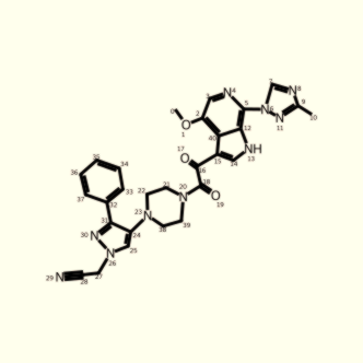 COc1cnc(-n2cnc(C)n2)c2[nH]cc(C(=O)C(=O)N3CCN(c4cn(CC#N)nc4-c4ccccc4)CC3)c12